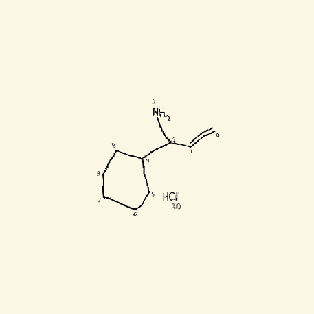 C=CC(N)C1CCCCC1.Cl